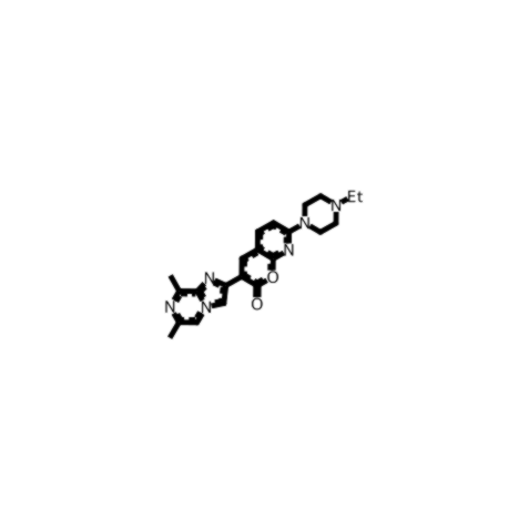 CCN1CCN(c2ccc3cc(-c4cn5cc(C)nc(C)c5n4)c(=O)oc3n2)CC1